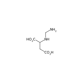 NCNC(CC(=O)O)C(=O)O